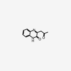 CC(=O)Cc1nc2ccccc2[nH]c1=O